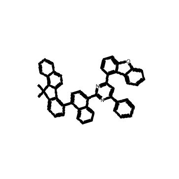 CC1(C)c2cccc(-c3ccc(-c4nc(-c5ccccc5)cc(-c5cccc6oc7ccccc7c56)n4)c4ccccc34)c2-c2ccc3ccccc3c21